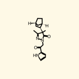 CC1=NN(CC(=O)c2ccc[nH]2)C(=O)C1(C)[C@H]1C[C@@H]2CC[C@@H]1C2